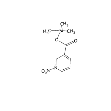 C[Si](C)(C)OC(=O)C1=CC=CN([N+](=O)[O-])C1